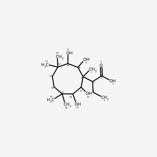 CCC(C(=O)O)C1(C)C(O)C(O)C(C)(C)CCC(C)(C)C(O)C1O